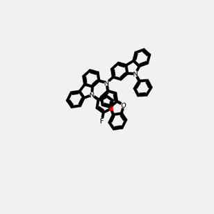 Fc1cccc(-n2c3ccccc3c3cccc(N(c4ccc5c(c4)oc4ccccc45)c4ccc5c6ccccc6n(-c6ccccc6)c5c4)c32)c1